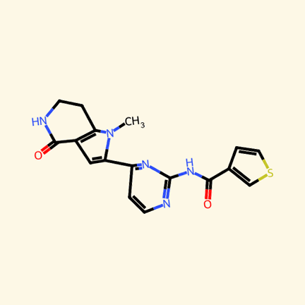 Cn1c(-c2ccnc(NC(=O)c3ccsc3)n2)cc2c1CCNC2=O